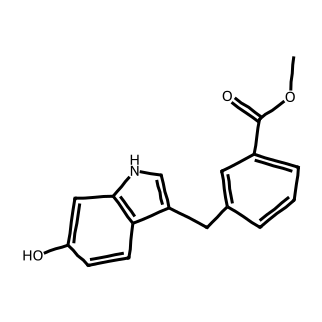 COC(=O)c1cccc(Cc2c[nH]c3cc(O)ccc23)c1